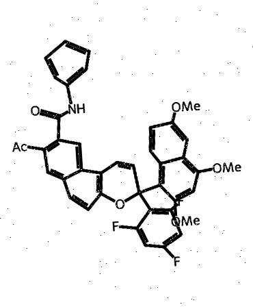 COc1ccc2c(C3(c4c(F)cc(F)cc4F)C=Cc4c(ccc5cc(C(C)=O)c(C(=O)Nc6ccccc6)cc45)O3)c(OC)cc(OC)c2c1